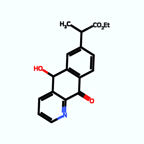 CCOC(=O)C(C)c1ccc2c(c1)C(O)c1cccnc1C2=O